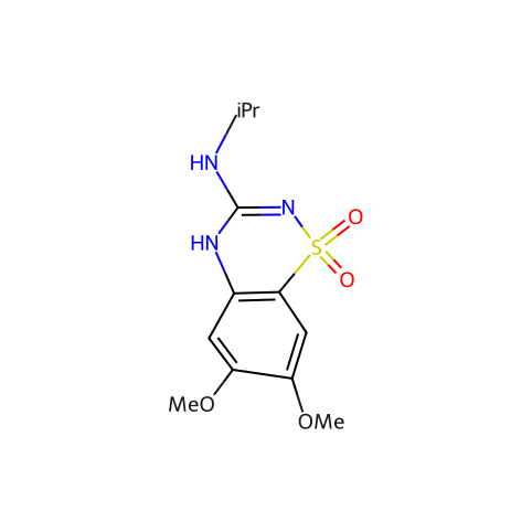 COc1cc2c(cc1OC)S(=O)(=O)N=C(NC(C)C)N2